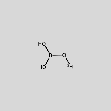 [2H]OB(O)O